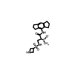 C[S+]([O-])C(CNS(=O)(=O)C1CNC1)C(=O)Nc1c2c(cc3c1CCC3)CCC2